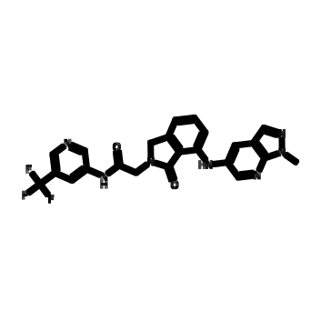 Cn1ncc2cc(Nc3cccc4c3C(=O)N(CC(=O)Nc3cncc(C(F)(F)F)c3)C4)cnc21